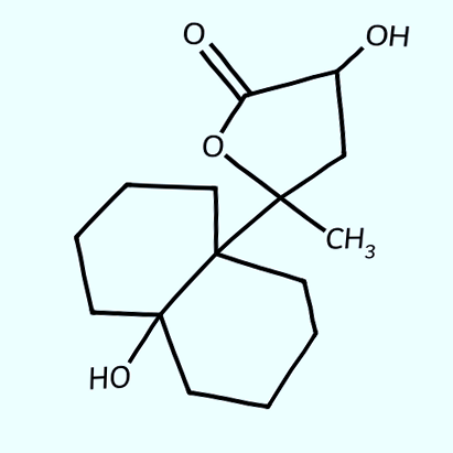 CC1(C23CCCCC2(O)CCCC3)CC(O)C(=O)O1